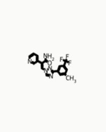 Cc1cc(-c2ncn(C=C(C(N)=O)c3cccnc3)n2)cc(C(F)(F)F)c1